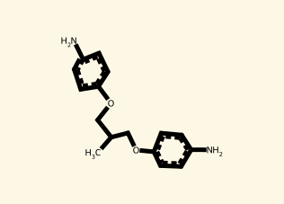 CC(COc1ccc(N)cc1)COc1ccc(N)cc1